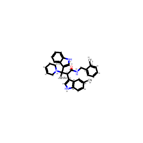 CC(=O)NC(c1c[nH]c2ccccc12)(C(C(=O)NCc1ccccc1C(F)(F)F)c1c[nH]c2ccc(C#N)cc12)N1CC=CCC1